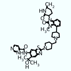 C=C1CCC(n2c(=O)n(C)c3c(C4CCN(CC5CCN(c6nc7cc(C(C)(C)O)c(NC(=O)c8ccncn8)cc7s6)CC5)CC4)cccc32)C(=O)N1